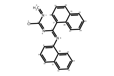 C=N/C(Cl)=N\C(=N/c1cccc2ccccc12)c1cccc2ccccc12